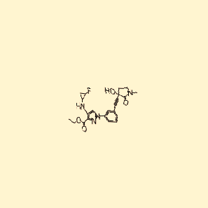 CCOC(=O)c1nn(-c2cccc(C#C[C@]3(O)CCN(C)C3=O)c2)cc1NC1CC1F